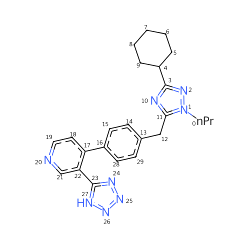 CCCn1nc(C2CCCCC2)nc1Cc1ccc(-c2ccncc2-c2nnn[nH]2)cc1